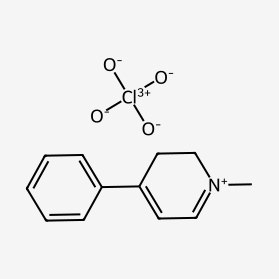 C[N+]1=CC=C(c2ccccc2)CC1.[O-][Cl+3]([O-])([O-])[O-]